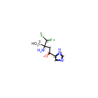 NC(CC(=O)c1cnc[nH]1)(C(=O)O)C(F)F